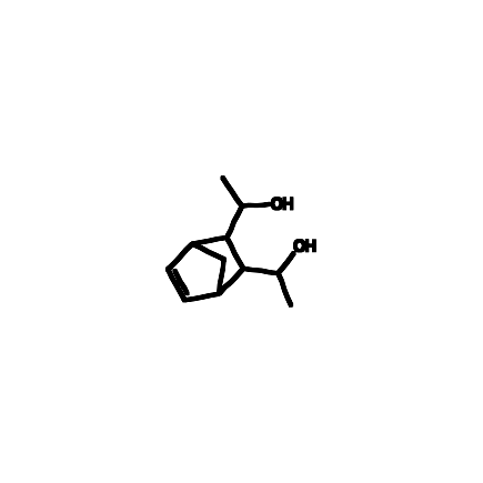 CC(O)C1C2C=CC(C2)C1C(C)O